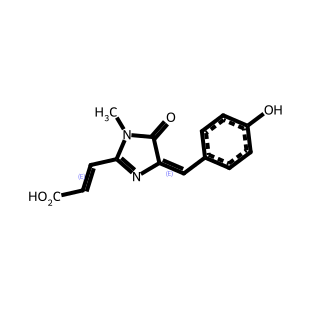 CN1C(=O)/C(=C\c2ccc(O)cc2)N=C1/C=C/C(=O)O